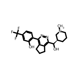 CN1CCC[C@@H](C(O)c2nnc(-c3ccc(C(F)(F)F)cc3O)c3c2CCC3)C1